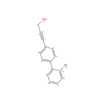 OCC#Cc1ccc(-c2ccccc2Br)cc1